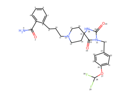 NC(=O)c1ccccc1[CH]CCN1CCC2(CC1)NC(=O)N(Cc1ccc(OC(F)F)cc1)C2=O